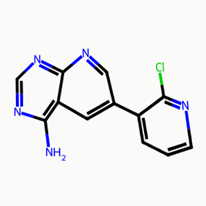 Nc1ncnc2ncc(-c3cccnc3Cl)cc12